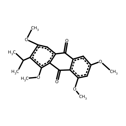 COc1cc(OC)c2c(c1)C(=O)c1cc(OC)c(C(C)C)c(OC)c1C2=O